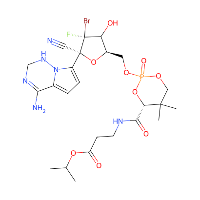 CC(C)OC(=O)CCNC(=O)[C@@H]1OP(=O)(OC[C@H]2O[C@@](C#N)(c3ccc4n3NCN=C4N)[C@@](F)(Br)C2O)OCC1(C)C